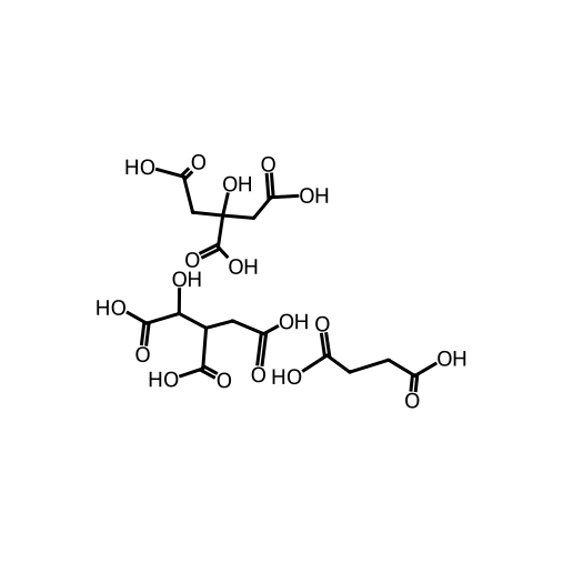 O=C(O)CC(C(=O)O)C(O)C(=O)O.O=C(O)CC(O)(CC(=O)O)C(=O)O.O=C(O)CCC(=O)O